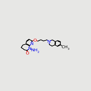 Cc1ccc2c(c1)CCN(CCCCOc1ccc3c(n1)N(N)C(=O)CCC3)C2